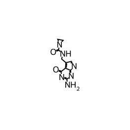 NC1=NC(=O)C2=C(CNC(=O)N3CC3)C=NC2=N1